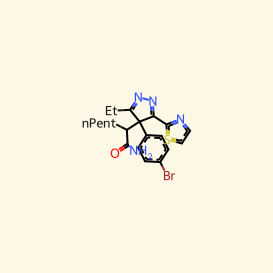 CCCCCC(C(N)=O)C1(c2ccc(Br)cc2)C(CC)=NN=C1c1nccs1